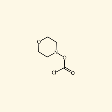 O=C(Cl)ON1CCOCC1